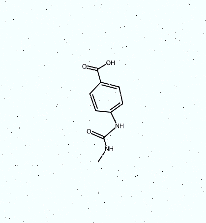 CNC(=O)Nc1ccc(C(=O)O)cc1